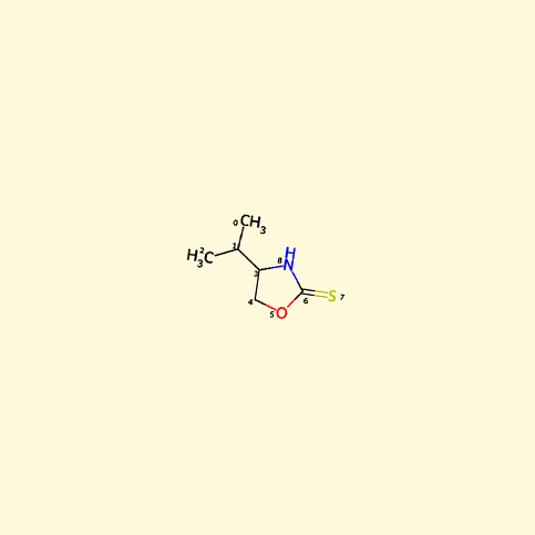 CC(C)C1COC(=S)N1